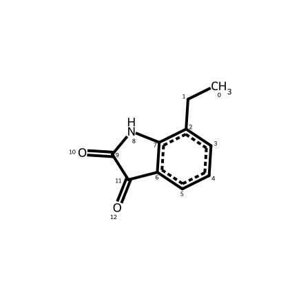 CCc1cccc2c1NC(=O)C2=O